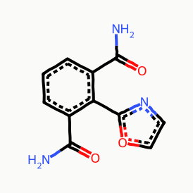 NC(=O)c1cccc(C(N)=O)c1-c1ncco1